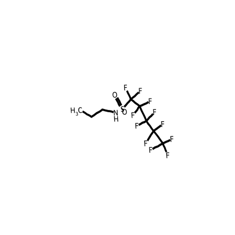 CCCNS(=O)(=O)C(F)(F)C(F)(F)C(F)(F)C(F)(F)C(F)(F)F